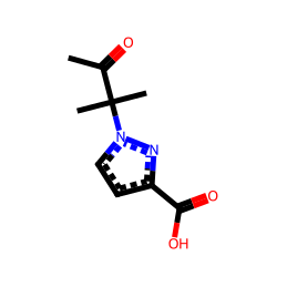 CC(=O)C(C)(C)n1ccc(C(=O)O)n1